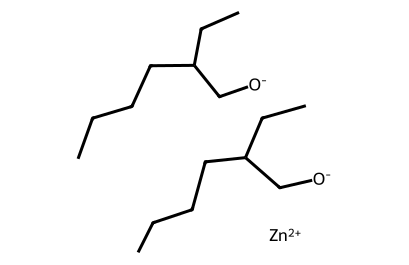 CCCCC(CC)C[O-].CCCCC(CC)C[O-].[Zn+2]